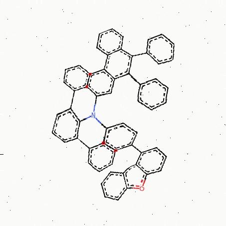 c1ccc(-c2cccc(-c3ccccc3)c2N(c2ccc(-c3cccc4oc5ccccc5c34)cc2)c2ccc3c(c2)c(-c2ccccc2)c(-c2ccccc2)c2ccccc23)cc1